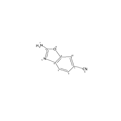 N#Cc1ccc2nc(N)oc2c1